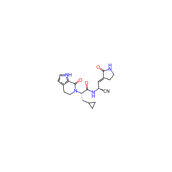 N#C[C@H](/C=C1\CCNC1=O)NC(=O)[C@H](CC1CC1)N1CCc2cc[nH]c2C1=O